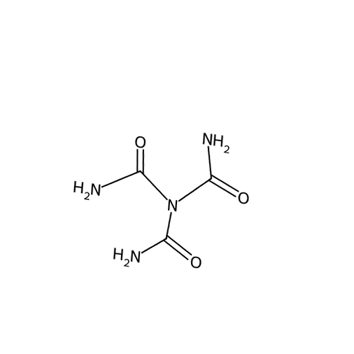 NC(=O)N(C(N)=O)C(N)=O